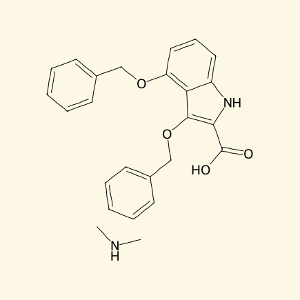 CNC.O=C(O)c1[nH]c2cccc(OCc3ccccc3)c2c1OCc1ccccc1